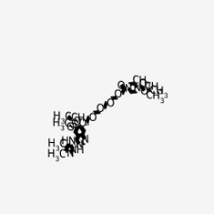 Cc1n[nH]c(Nc2ncnc3cc(OCCOCCOCCOCCOCC(=O)N4CCN(C(=O)OC(C)(C)C)C(C)C4)c(S(=O)(=O)C(C)(C)C)cc23)c1C